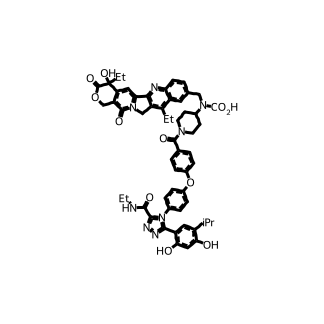 CCNC(=O)c1nnc(-c2cc(C(C)C)c(O)cc2O)n1-c1ccc(Oc2ccc(C(=O)N3CCC(N(Cc4ccc5nc6c(c(CC)c5c4)Cn4c-6cc5c(c4=O)COC(=O)C5(O)CC)C(=O)O)CC3)cc2)cc1